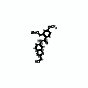 COCc1cc(OC(F)(F)F)ccc1C(=O)Nc1ccc2sc(CO)nc2c1